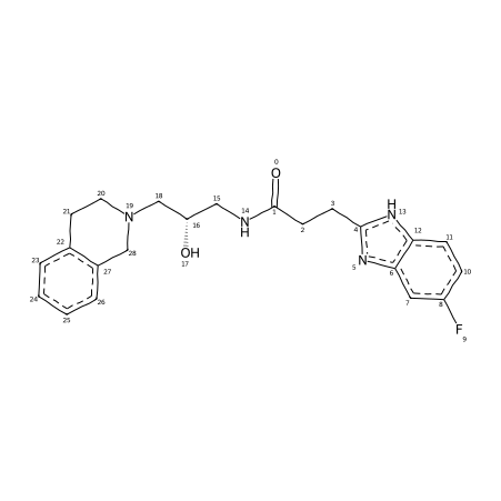 O=C(CCc1nc2cc(F)ccc2[nH]1)NC[C@H](O)CN1CCc2ccccc2C1